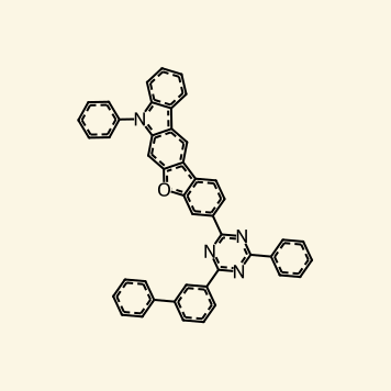 c1ccc(-c2cccc(-c3nc(-c4ccccc4)nc(-c4ccc5c(c4)oc4cc6c(cc45)c4ccccc4n6-c4ccccc4)n3)c2)cc1